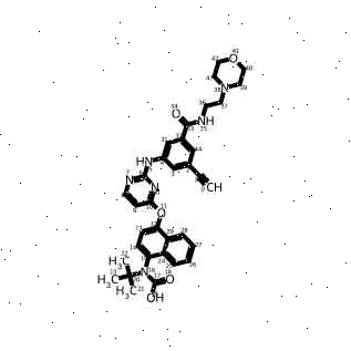 C#Cc1cc(Nc2nccc(Oc3ccc(N(C(=O)O)C(C)(C)C)c4ccccc34)n2)cc(C(=O)NCCN2CCOCC2)c1